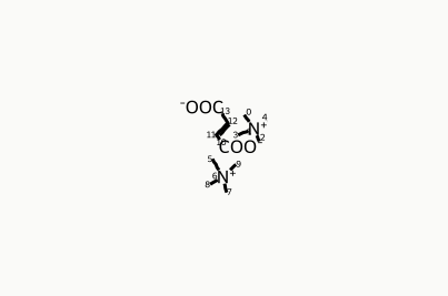 C[N+](C)(C)C.C[N+](C)(C)C.O=C([O-])C=CC(=O)[O-]